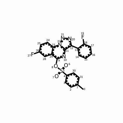 Cc1ccc(S(=O)(=O)Oc2nc3c(-c4ccccc4F)nnn3c3ccc(F)cc23)cc1